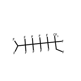 FCC(F)(C(F)(F)F)C(F)(F)C(F)(F)C(F)(F)C(F)(F)[C](F)F